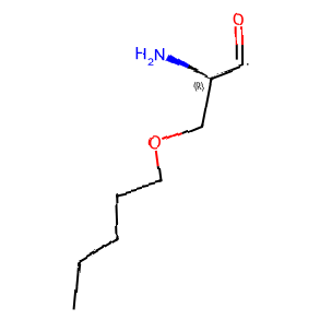 CCCCCOC[C@@H](N)[C]=O